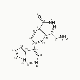 NCc1n[nH]c(=O)c2ccc(-c3cncn4cccc34)cc12